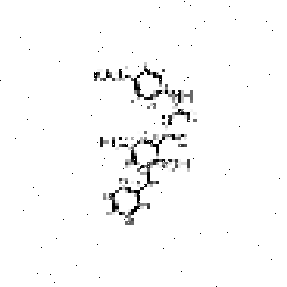 CCCCCCCCc1ccc(NC(=O)OC(=O)c2cc(O)cc(Cc3ccccc3)c2O)cc1